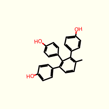 Cc1ccc(-c2ccc(O)cc2)c(-c2ccc(O)cc2)c1-c1ccc(O)cc1